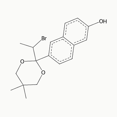 CC(Br)C1(c2ccc3cc(O)ccc3c2)OCC(C)(C)CO1